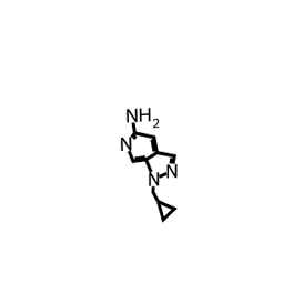 Nc1cc2cnn(CC3CC3)c2cn1